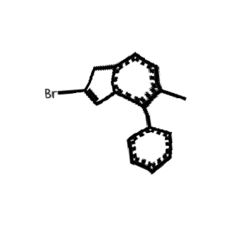 Cc1ccc2c(c1-c1ccccc1)C=C(Br)C2